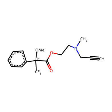 C#CCN(C)CCOC(=O)[C@@](OC)(c1ccccc1)C(F)(F)F